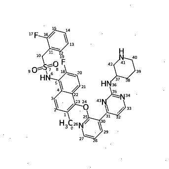 Cc1ccc2c(NS(=O)(=O)Cc3ccccc3F)c(F)ccc2c1Oc1ncccc1-c1ccnc(NC2CCCNC2)n1